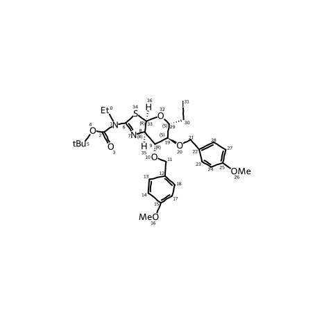 CCN(C(=O)OC(C)(C)C)C1=N[C@@H]2[C@@H](OCc3ccc(OC)cc3)[C@H](OCc3ccc(OC)cc3)[C@@H](CI)O[C@@H]2S1